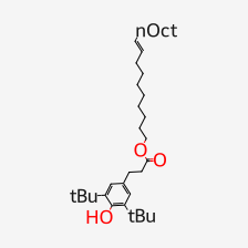 CCCCCCCCC=CCCCCCCCCOC(=O)CCc1cc(C(C)(C)C)c(O)c(C(C)(C)C)c1